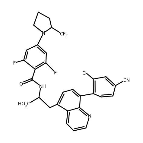 N#Cc1ccc(-c2ccc(CC(NC(=O)c3c(F)cc(N4CCCC4C(F)(F)F)cc3F)C(=O)O)c3cccnc23)c(Cl)c1